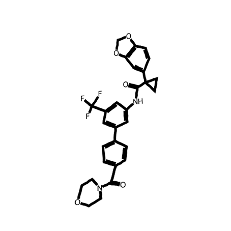 O=C(c1ccc(-c2cc(NC(=O)C3(c4ccc5c(c4)OCO5)CC3)cc(C(F)(F)F)c2)cc1)N1CCOCC1